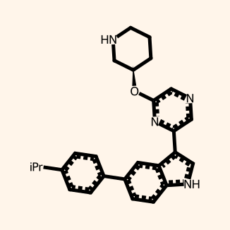 CC(C)c1ccc(-c2ccc3[nH]cc(-c4cncc(O[C@@H]5CCCNC5)n4)c3c2)cc1